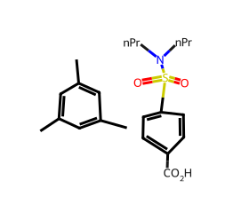 CCCN(CCC)S(=O)(=O)c1ccc(C(=O)O)cc1.Cc1cc(C)cc(C)c1